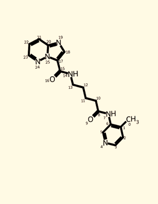 Cc1ccncc1NC(=O)CCCCNC(=O)c1cnc2cccnn12